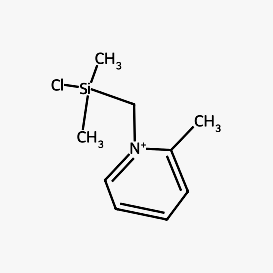 Cc1cccc[n+]1C[Si](C)(C)Cl